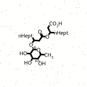 CCCCCCCC(CC(=O)O)OC(=O)CC(CCCCCCC)O[C@@H]1OC(C)[C@H](O)C(O)C1O